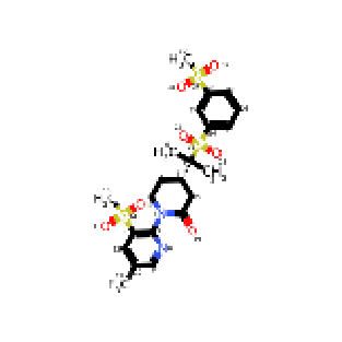 CC(C)([C@H]1CCN(c2ncc(C(F)(F)F)cc2S(C)(=O)=O)C(=O)C1)S(=O)(=O)c1cccc(S(C)(=O)=O)c1